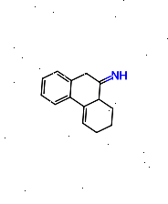 N=C1Cc2ccccc2C2=CCCCC12